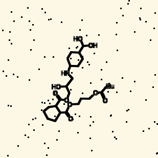 CCC(C)C(=O)OCCCOC(=O)C1CCCCC1C(=O)OCC(O)CNC1CCC(C(O)O)CC1